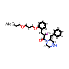 COCCOCCCOc1ccccc1CC(I)C(=O)N1CCNCC1Cc1ccccc1